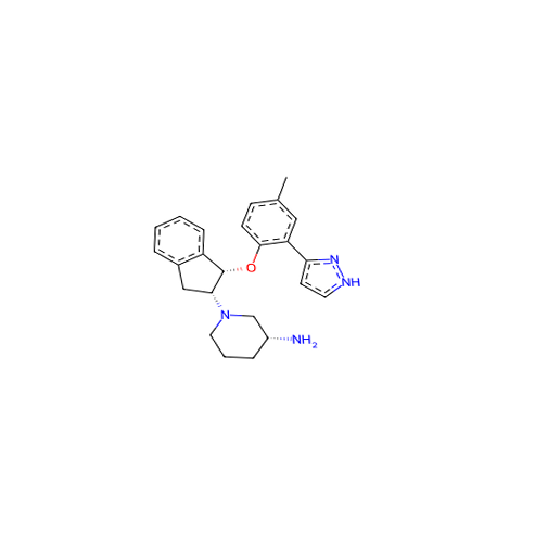 Cc1ccc(O[C@H]2c3ccccc3C[C@H]2N2CCC[C@@H](N)C2)c(-c2cc[nH]n2)c1